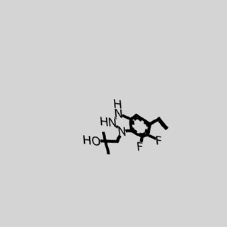 C=Cc1cc2c(c(F)c1F)N(CC(C)(C)O)NN2